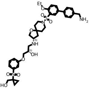 CCOc1ccc(-c2ccc(CN)cc2)cc1S(=O)(=O)N1CCC2(CC1)C[C@H](NC[C@H](O)COc1cccc(S(=O)(=O)C3(CO)CC3)c1)CO2